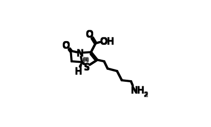 NCCCCCC1=C(C(=O)O)N2C(=O)C[C@H]2S1